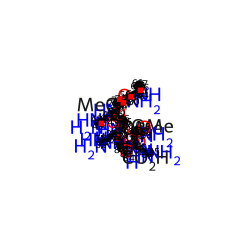 COc1ccc(CC(=O)[C@@H](CCCNC(=N)N)NC(=O)c2cc(CC(=O)[C@@H](CCCNC(=N)N)NC(=O)c3cc(CC(=O)[C@@H](CCCNC(=N)N)NC(=O)c4cc(CC(=O)[C@H](N)Cc5c[nH]c6ccccc56)ccc4OC)ccc3OC)ccc2OCC(=O)O)cc1C(N)=O